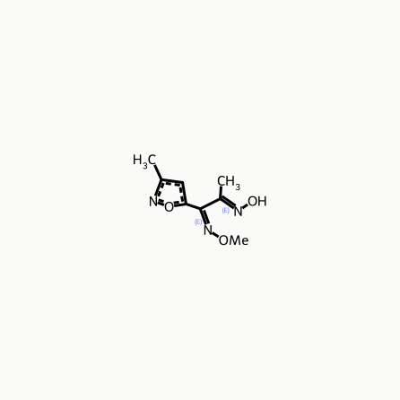 CO/N=C(\C(C)=N\O)c1cc(C)no1